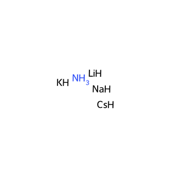 N.[CsH].[KH].[LiH].[NaH]